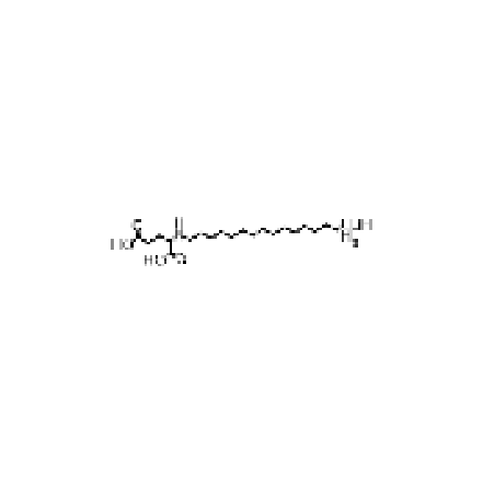 CCCCCCCCCCCCCCCCNC(CCC(=O)O)C(=O)O.[LiH]